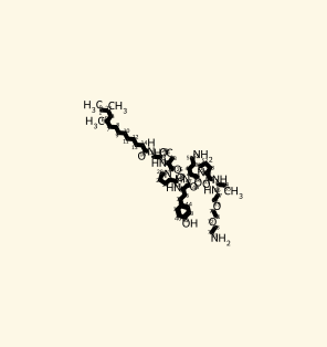 CCC(C)CC(C)CCCCCCCCC(=O)NCC(=O)NC(CC)C(=O)N1CCCC1C(=O)NC(CCc1ccc(O)cc1)C(=O)NC(CCCN)C(=O)N1CCCC1C(=O)NC(CC)NCCOCCOCCN